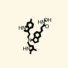 Cc1ccc2c(CCN(Cc3cc(C)c(C)[nH]3)C3CCc4cc(C=CC(=O)NO)ccc43)c[nH]c2c1